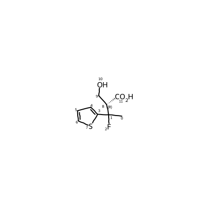 CC(F)(c1cccs1)[C@H](CO)C(=O)O